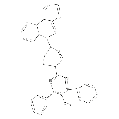 Cc1c(-c2ccccc2)nc(C2C=CC(C3C=C4C=CC=CC4C4C=CC=CC34)CC2)nc1-c1ccccc1